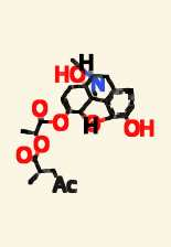 CC(=O)C[C@@H](C)C(=O)O[C@@H](C)C(=O)OC1=CC[C@@]2(O)[C@H]3Cc4ccc(O)c5c4[C@@]2(CCN3C)[C@H]1O5